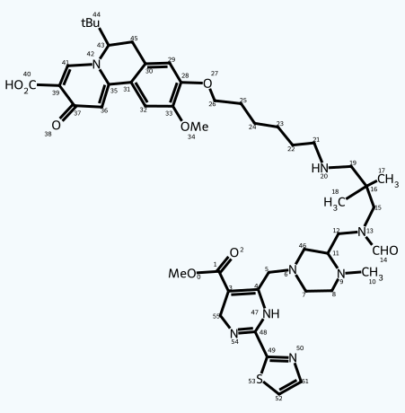 COC(=O)C1=C(CN2CCN(C)C(CN(C=O)CC(C)(C)CNCCCCCCOc3cc4c(cc3OC)-c3cc(=O)c(C(=O)O)cn3C(C(C)(C)C)C4)C2)NC(c2nccs2)=NC1